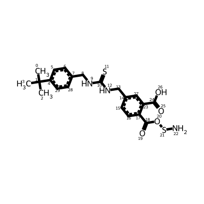 CC(C)(C)c1ccc(CNC(=S)NCc2ccc(C(=O)OSN)c(C(=O)O)c2)cc1